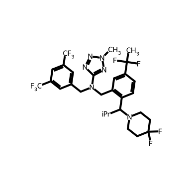 CC(C)C(c1ccc(C(C)(F)F)cc1CN(Cc1cc(C(F)(F)F)cc(C(F)(F)F)c1)c1nnn(C)n1)N1CCC(F)(F)CC1